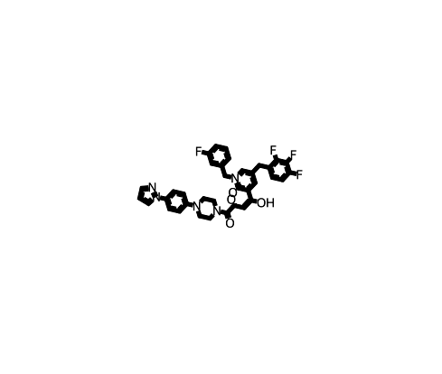 O=C(/C=C(/O)c1cc(Cc2ccc(F)c(F)c2F)cn(Cc2cccc(F)c2)c1=O)C(=O)N1CCN(c2ccc(-n3cccn3)cc2)CC1